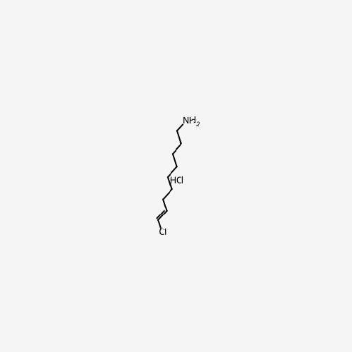 Cl.NCCCCCCCC=CCl